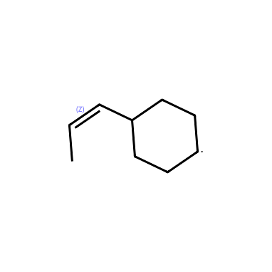 C/C=C\C1CC[CH]CC1